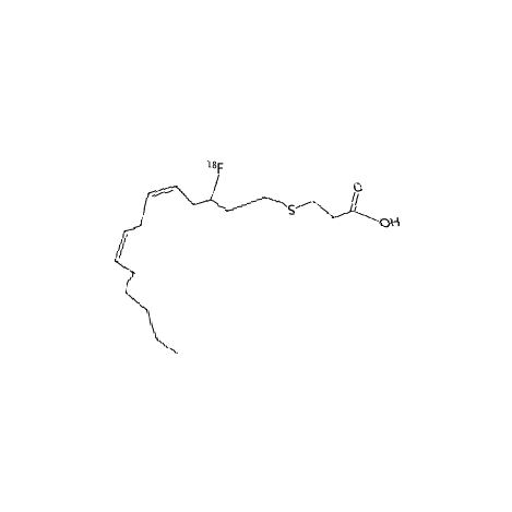 CCCCC/C=C\C/C=C\CC([18F])CCSCCC(=O)O